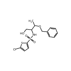 CC(OCc1ccccc1)C(CO)NS(=O)(=O)c1ccc(Cl)s1